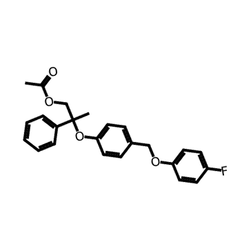 CC(=O)OCC(C)(Oc1ccc(COc2ccc(F)cc2)cc1)c1ccccc1